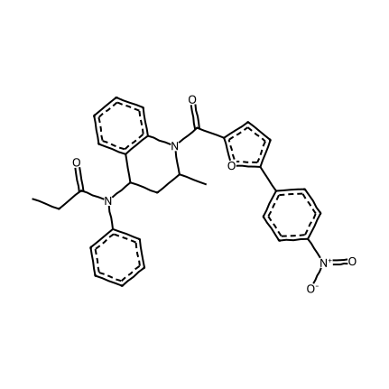 CCC(=O)N(c1ccccc1)C1CC(C)N(C(=O)c2ccc(-c3ccc([N+](=O)[O-])cc3)o2)c2ccccc21